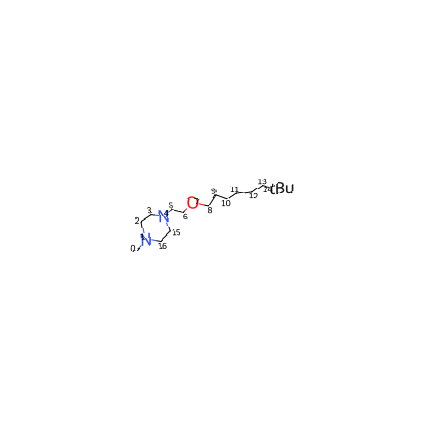 CN1CCN(CCOCCCCCCC(C)(C)C)CC1